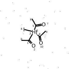 C[C](=O)[Hf]([I])([C](C)=O)[C](C)=O